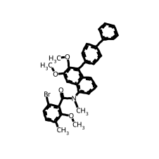 COc1cc2c(N(C)C(=O)c3c(Br)ccc(C)c3OC)cccc2c(-c2ccc(-c3ccccc3)cc2)c1OC